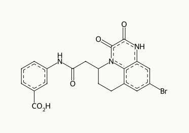 O=C(CC1CCc2cc(Br)cc3[nH]c(=O)c(=O)n1c23)Nc1cccc(C(=O)O)c1